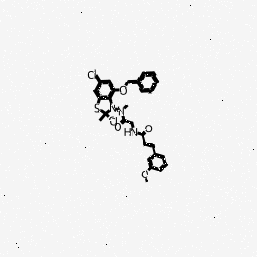 COc1cccc(C=CC(=O)NCC(=O)N(C)N2c3c(OCc4ccccc4)cc(Cl)cc3SC2(C)Cl)c1